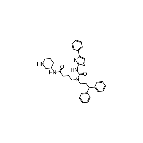 O=C(CCCN(CCC(c1ccccc1)c1ccccc1)C(=O)Nc1nc(-c2ccccc2)cs1)N[C@H]1CCCNC1